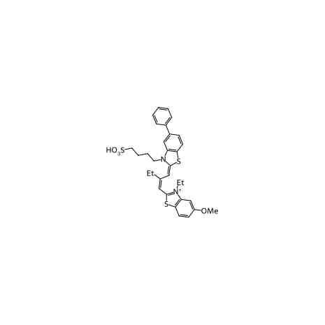 CCC(=Cc1sc2ccc(OC)cc2[n+]1CC)C=C1Sc2ccc(-c3ccccc3)cc2N1CCCCS(=O)(=O)O